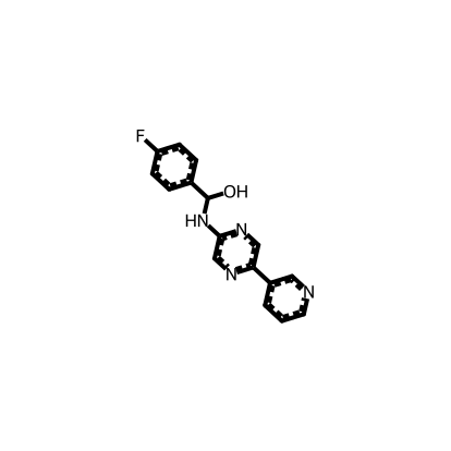 OC(Nc1cnc(-c2cccnc2)cn1)c1ccc(F)cc1